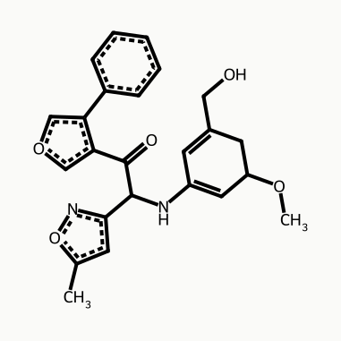 COC1C=C(NC(C(=O)c2cocc2-c2ccccc2)c2cc(C)on2)C=C(CO)C1